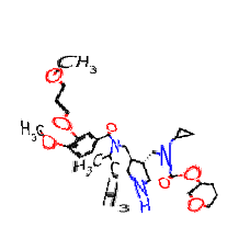 COCCCOc1cc(C(=O)N(C[C@@H]2CNC[C@H]2CN(C(=O)O[C@H]2CCCOC2)C2CC2)C(C)C)ccc1OC